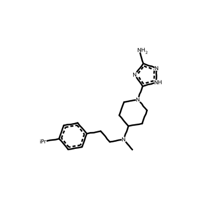 CC(C)c1ccc(CCN(C)C2CCN(c3nc(N)n[nH]3)CC2)cc1